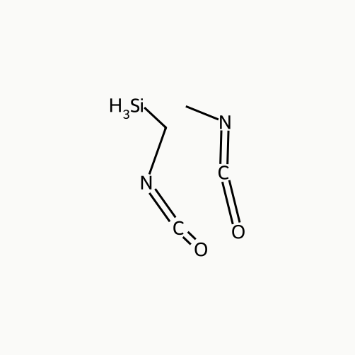 CN=C=O.O=C=NC[SiH3]